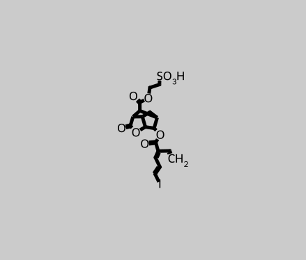 C=C/C(=C\C=C\I)C(=O)OC1C2CC3C1OC(=O)C3C2C(=O)OCCS(=O)(=O)O